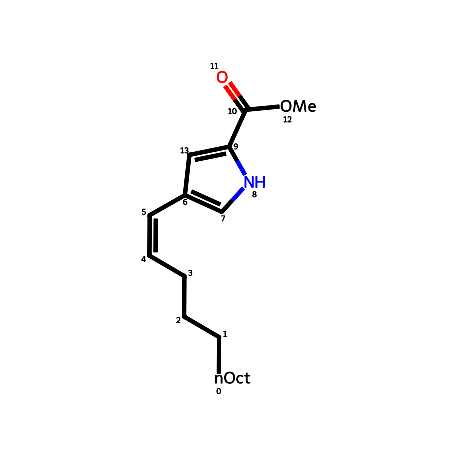 CCCCCCCCCCC/C=C\c1c[nH]c(C(=O)OC)c1